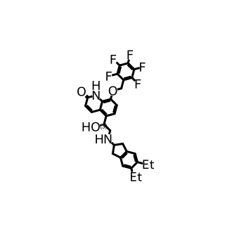 CCc1cc2c(cc1CC)CC(NC[C@@H](O)c1ccc(OCc3c(F)c(F)c(F)c(F)c3F)c3[nH]c(=O)ccc13)C2